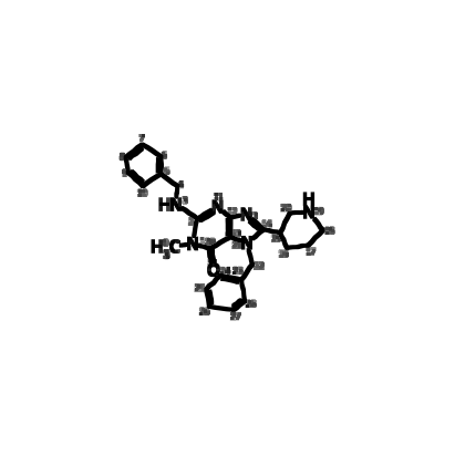 Cn1c(NCc2ccccc2)nc2nc(C3CCCNC3)n(Cc3ccccc3)c2c1=O